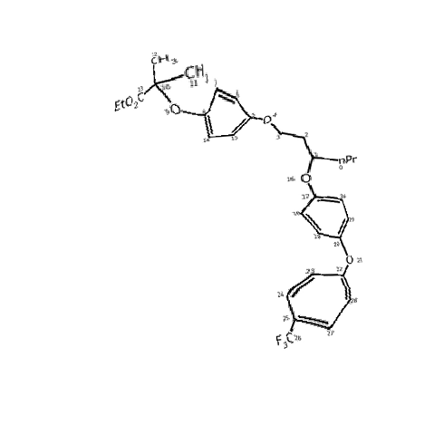 CCCC(CCOc1ccc(OC(C)(C)C(=O)OCC)cc1)Oc1ccc(Oc2ccc(C(F)(F)F)cc2)cc1